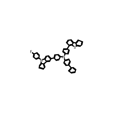 Fc1ccc(-n2c3ccccc3c3cc(-c4ccc(N(c5ccc(-c6ccccc6)cc5)c5ccc(-c6cccc7c6sc6ccccc67)cc5)cc4)ccc32)cc1